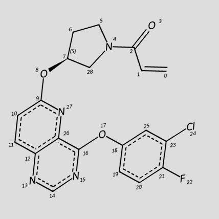 C=CC(=O)N1CC[C@H](Oc2ccc3ncnc(Oc4ccc(F)c(Cl)c4)c3n2)C1